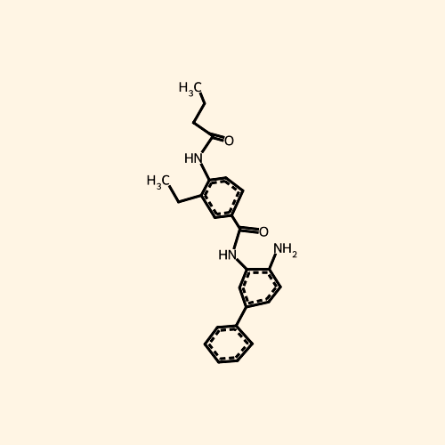 CCCC(=O)Nc1ccc(C(=O)Nc2cc(-c3ccccc3)ccc2N)cc1CC